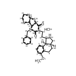 COc1cccc2c1CC[C@H]1CNC(CCn3c(=O)c4sc5nccnc5c4n(Cc4ccccc4)c3=O)[C@@H]21.Cl